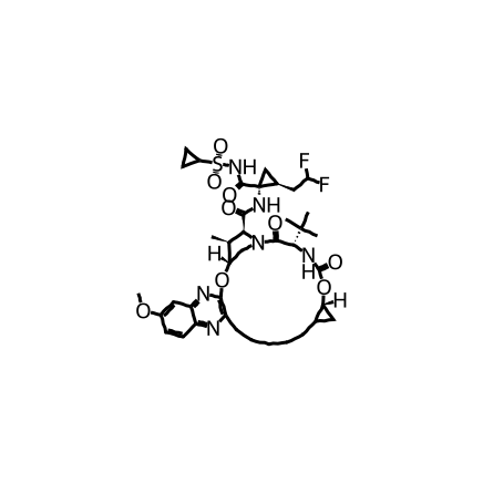 COc1ccc2nc3c(nc2c1)O[C@H]1CN(C(=O)[C@H](C(C)(C)C)NC(=O)O[C@@H]2CC2CCCCC3)[C@H](C(=O)N[C@]2(C(=O)NS(=O)(=O)C3CC3)C[C@H]2CC(F)F)[C@@H]1C